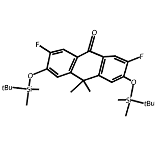 CC1(C)c2cc(O[Si](C)(C)C(C)(C)C)c(F)cc2C(=O)c2cc(F)c(O[Si](C)(C)C(C)(C)C)cc21